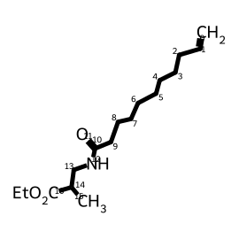 C=CCCCCCCCCC(=O)NCC(C)C(=O)OCC